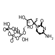 Nc1ccn([C@@]2(F)C[C@H](O)[C@@H](COP(=O)(O)OP(=O)(O)OP(=O)(O)O)O2)c(=O)n1